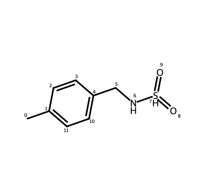 Cc1ccc(CN[SH](=O)=O)cc1